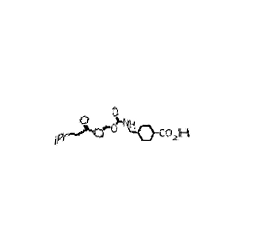 CC(C)CC(=O)OCOC(=O)NCC1CCC(C(=O)O)CC1